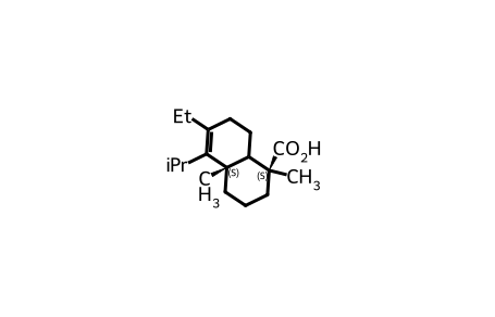 CCC1=C(C(C)C)[C@@]2(C)CCC[C@](C)(C(=O)O)C2CC1